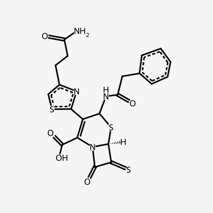 NC(=O)CCc1csc(C2=C(C(=O)O)N3C(=O)C(=S)[C@@H]3SC2NC(=O)Cc2ccccc2)n1